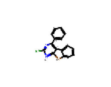 Brc1nc(-c2ccccc2)c2c(n1)sc1ccccc12